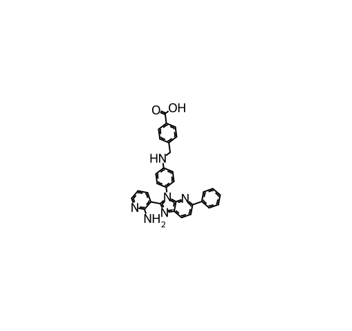 Nc1ncccc1-c1nc2ccc(-c3ccccc3)nc2n1-c1ccc(NCc2ccc(C(=O)O)cc2)cc1